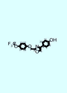 Oc1ccc(-c2coc(COc3ccc(OC(F)(F)F)cc3)n2)cc1